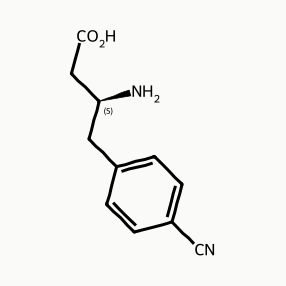 N#Cc1ccc(C[C@H](N)CC(=O)O)cc1